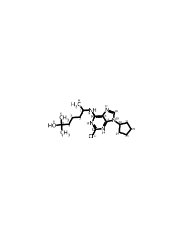 CC(CCCC(C)(C)O)Nc1nc(Cl)nc2c1ncn2C1CCCC1